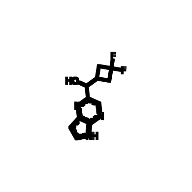 OC(c1cnc2[nH]ccc2n1)C1CC(F)(F)C1